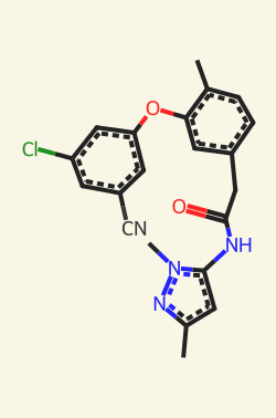 Cc1cc(NC(=O)Cc2ccc(C)c(Oc3cc(Cl)cc(C#N)c3)c2)n(C)n1